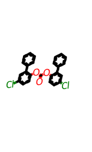 O=C(Oc1ccc(Cl)cc1-c1ccccc1)Oc1ccc(Cl)cc1-c1ccccc1